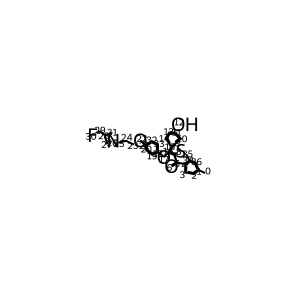 Cc1ccc(C(=O)c2sc3cc(O)ccc3c2Oc2ccc(OCCCN3CC(CF)C3)cc2)c(C)c1